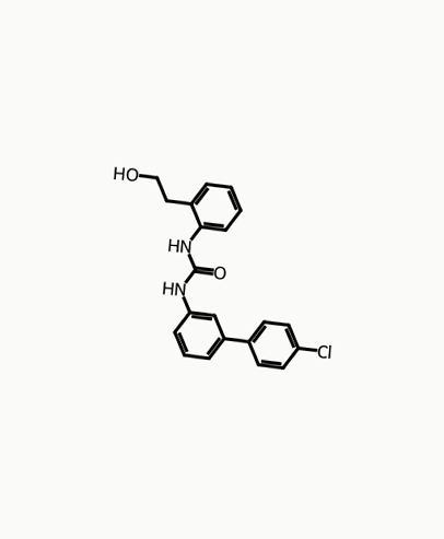 O=C(Nc1cccc(-c2ccc(Cl)cc2)c1)Nc1ccccc1CCO